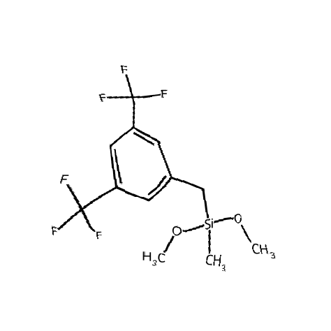 CO[Si](C)(Cc1cc(C(F)(F)F)cc(C(F)(F)F)c1)OC